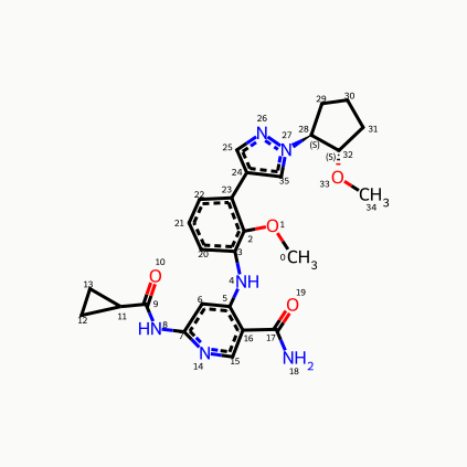 COc1c(Nc2cc(NC(=O)C3CC3)ncc2C(N)=O)cccc1-c1cnn([C@H]2CCC[C@@H]2OC)c1